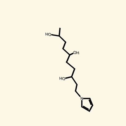 CC(O)CCC(O)CCC(O)CCn1cccc1